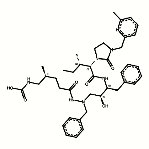 CC[C@H](C)[C@@H](C(=O)N[C@@H](Cc1ccccc1)[C@@H](O)CN(Cc1ccccc1)NC(=O)CC[C@H](C)CNC(=O)O)N1CCN(Cc2cccc(C)n2)C1=O